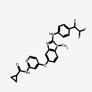 Cn1c(Nc2ccc(C(F)C(F)F)cc2)nc2cc(Oc3ccnc(NC(=O)C4CC4)c3)ccc21